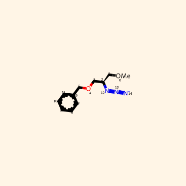 COC[C@H](COCc1ccccc1)N=[N+]=[N-]